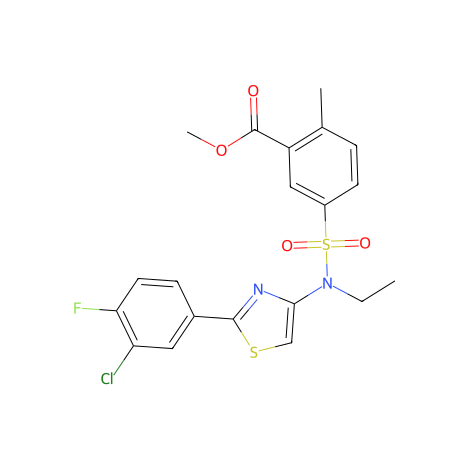 CCN(c1csc(-c2ccc(F)c(Cl)c2)n1)S(=O)(=O)c1ccc(C)c(C(=O)OC)c1